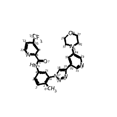 Cc1ccc(NC(=O)c2cc(C(F)(F)F)ccn2)cc1-n1cc(-c2cncc(N3CCOCC3)c2)nn1